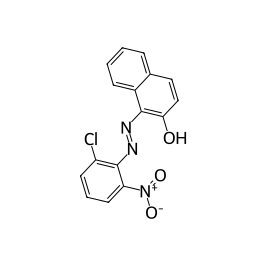 O=[N+]([O-])c1cccc(Cl)c1N=Nc1c(O)ccc2ccccc12